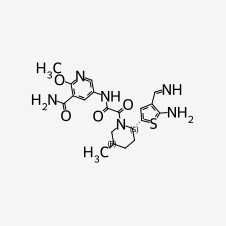 COc1ncc(NC(=O)C(=O)N2C[C@H](C)CC[C@H]2c2cc(C=N)c(N)s2)cc1C(N)=O